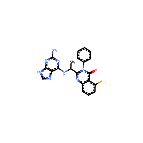 CC(Nc1nc(N)nc2[nH]cnc12)c1nc2cccc(P)c2c(=O)n1-c1ccccc1